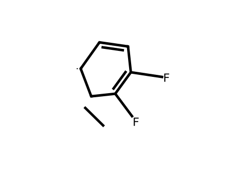 CC.FC1=C(F)C[CH]C=C1